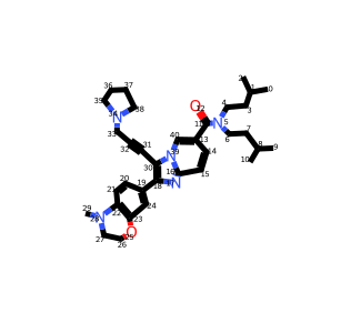 CC(C)CCN(CCC(C)C)C(=O)c1ccc2nc(-c3ccc4c(c3)OCCN4C)c(C#CCN3CCCC3)n2c1